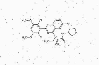 C=CC(=O)N[C@H]1COC[C@H]1Nc1ncc2cc(-c3c(Cl)c(OC)cc(OC)c3Cl)nc(OCC)c2n1